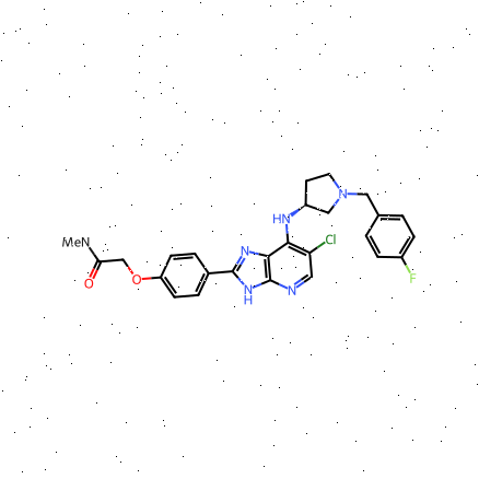 CNC(=O)COc1ccc(-c2nc3c(N[C@H]4CCN(Cc5ccc(F)cc5)C4)c(Cl)cnc3[nH]2)cc1